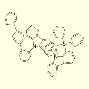 c1ccc(-c2ccc(-c3ccccc3-n3c4ccccc4c4ccc(-n5c6ccccc6c6cccc([Si](c7ccccc7)(c7ccccc7)c7ccccc7)c65)cc43)cc2)cc1